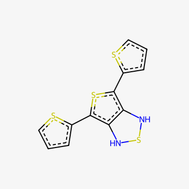 c1csc(-c2sc(-c3cccs3)c3c2NSN3)c1